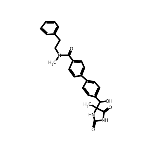 CN(CCc1ccccc1)C(=O)c1ccc(-c2ccc(C(O)C3(C)NC(=O)NC3=O)cc2)cc1